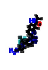 Cc1c(C(=O)NC(C)C)ccc2ccc(-c3nnc4ccc([C@@H](N5CC[C@H](N)C5)C(F)(F)F)cn34)nc12